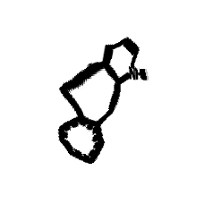 C1=CNC2=Cc3ccccc3CCC2=C1